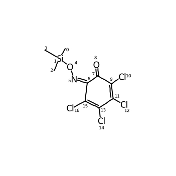 C[Si](C)(C)ON=C1C(=O)C(Cl)=C(Cl)C(Cl)=C1Cl